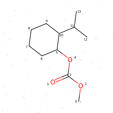 [CH2]OC(=O)OC1CCCCC1C(C)C